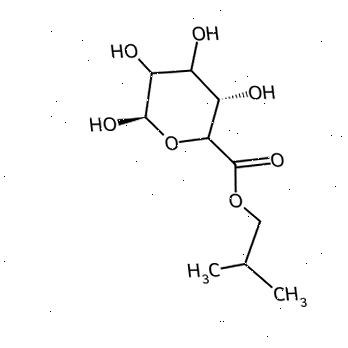 CC(C)COC(=O)C1O[C@@H](O)C(O)C(O)[C@@H]1O